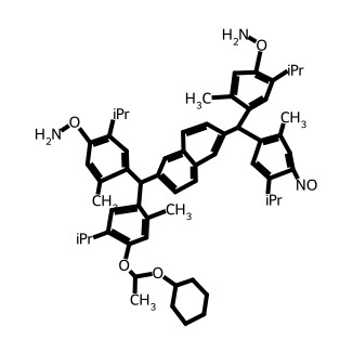 Cc1cc(N=O)c(C(C)C)cc1C(c1ccc2cc(C(c3cc(C(C)C)c(ON)cc3C)c3cc(C(C)C)c(OC(C)OC4CCCCC4)cc3C)ccc2c1)c1cc(C(C)C)c(ON)cc1C